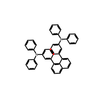 c1ccc(N(c2ccccc2)c2cccc(-c3cccc4cccc(-c5cccc(N(c6ccccc6)c6ccccc6)c5)c34)c2)cc1